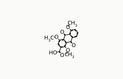 COc1cccc2c1C(=O)c1c(OC)cc(C(=O)O)c(OC)c1C2=O